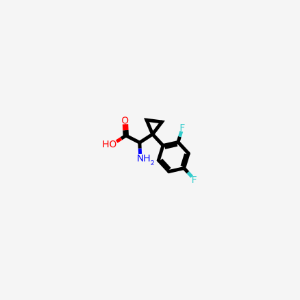 NC(C(=O)O)C1(c2ccc(F)cc2F)CC1